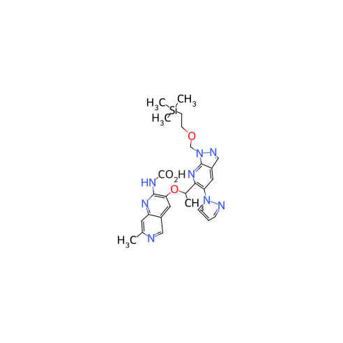 Cc1cc2nc(NC(=O)O)c(OC(C)c3nc4c(cnn4COCC[Si](C)(C)C)cc3-n3cccn3)cc2cn1